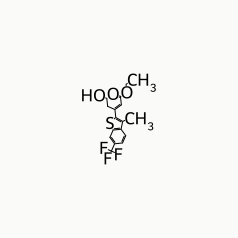 CCOC(=O)C=C(CCO)c1sc2cc(C(F)(F)F)ccc2c1C